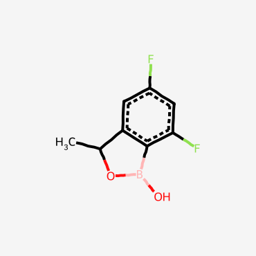 CC1OB(O)c2c(F)cc(F)cc21